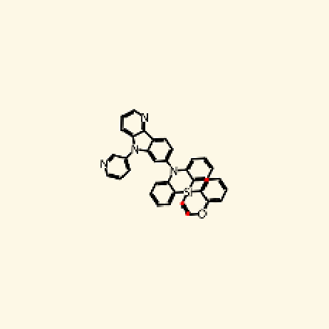 c1cncc(-n2c3cc(N4c5ccccc5[Si]5(c6ccccc6Oc6ccccc65)c5ccccc54)ccc3c3ncccc32)c1